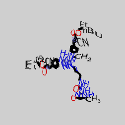 C=C(/N=C(\N=C(/N)Nc1ccc(/C=C(\C#N)C(=O)OCC(CC)CCCC)cc1)NCCCCNC(=O)Nc1nc(=O)cc(C)[nH]1)Nc1ccc(/C=C(\C#N)C(=O)OCC(CC)CCCC)cc1